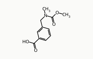 COC(=O)N(C)Cc1cccc(C(=O)O)c1